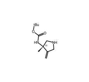 C=C1CNC[C@@]1(C)NC(=O)OC(C)(C)C